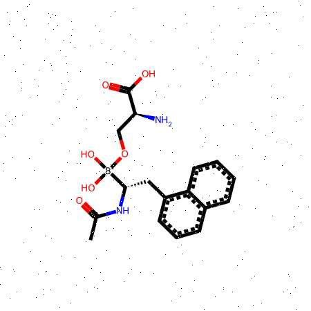 CC(=O)N[C@@H](Cc1cccc2ccccc12)[B-](O)(O)OC[C@H](N)C(=O)O